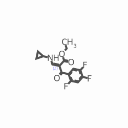 CCOC(=O)/C(=C\NC1CC1)C(=O)c1cc(F)c(F)cc1F